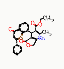 CCOC(=O)C1=C(C)NC2=C(C(=O)OC2)C1c1cccc2c(=O)cc(-c3ccccc3)sc12